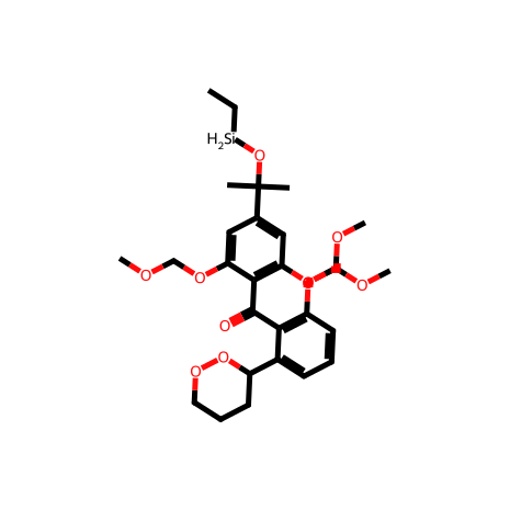 CC[SiH2]OC(C)(C)c1cc(OCOC)c(C(=O)c2c(OCOC)cccc2C2CCCOO2)c(OCOC)c1